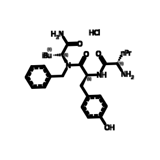 CCC[C@H](N)C(=O)N[C@@H](Cc1ccc(O)cc1)C(=O)N(Cc1ccccc1)[C@H](C(N)=O)[C@@H](C)CC.Cl